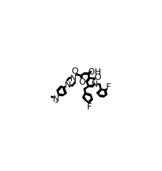 CN(C)c1ccc(N2CCN(C(=O)C(=O)/C=C(/O)c3cc(Cc4ccc(F)cc4)cn(Cc4ccccc4F)c3=O)CC2)cc1